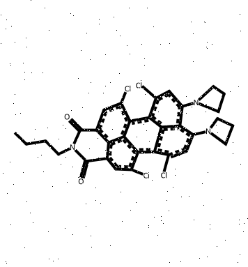 CCCCN1C(=O)c2cc(Cl)c3c4c(Cl)cc(N5CCC5)c5c(N6CCC6)cc(Cl)c(c6c(Cl)cc(c2c36)C1=O)c54